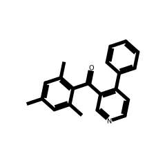 Cc1cc(C)c(C(=O)c2cnccc2-c2ccccc2)c(C)c1